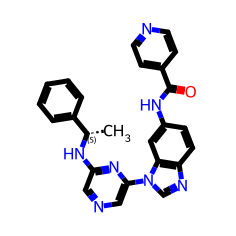 C[C@H](Nc1cncc(-n2cnc3ccc(NC(=O)c4ccncc4)cc32)n1)c1ccccc1